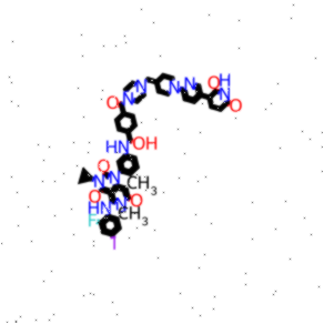 Cc1c(=O)n(C)c(Nc2ccc(I)cc2F)c2c(=O)n(C3CC3)c(=O)n(-c3cccc(NC(O)C4CCC(C(=O)N5CCN(CC6CCN(c7ccc(C8CCC(=O)NC8=O)cn7)CC6)CC5)CC4)c3)c12